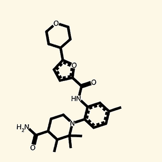 Cc1ccc(N2CCC(C(N)=O)C(C)C2(C)C)c(NC(=O)c2ccc(C3CCOCC3)o2)c1